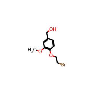 COc1cc(CO)ccc1OCCBr